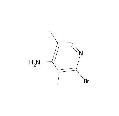 Cc1cnc(Br)c(C)c1N